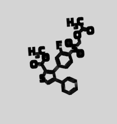 COC(=O)c1scc(-c2ccccc2)c1-c1ccc(S(=O)(=O)COC(C)=O)c(F)c1